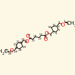 C=COCC1CCC(COC(=O)CCCCC(=O)OCC2CCC(COC=C)CC2)CC1